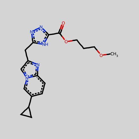 COCCCOC(=O)c1nnc(Cc2cn3cc(C4CC4)ccc3n2)[nH]1